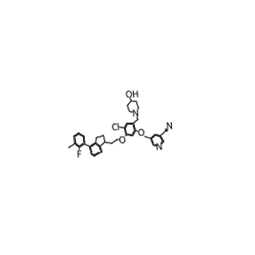 Cc1cccc(-c2cccc3c2CCC3CCOc2cc(OCc3cncc(C#N)c3)c(CN3CCC(O)CC3)cc2Cl)c1F